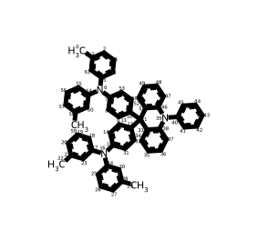 Cc1cccc(N(c2ccc(C3(c4ccc(N(c5cccc(C)c5)c5cccc(C)c5)cc4)c4ccccc4N(c4ccccc4)c4ccccc43)cc2)c2cccc(C)c2)c1